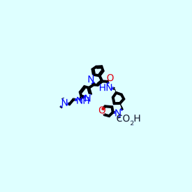 CN(C)CCNc1ccc(-c2cc(C(=O)NC[C@H]3CC[C@H](CN(C(=O)O)C4CCOCC4)CC3)c3ccccc3n2)cn1